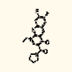 CCn1cc(C(=O)N2CCCC2)c(=O)c2cc3cc(F)c(F)cc3nc21